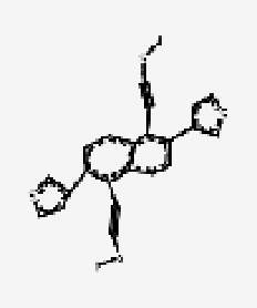 ISC#Cc1c(-c2ccsc2)ccc2c(C#CSI)c(-c3ccsc3)ccc12